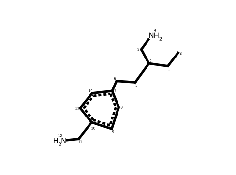 CCC(CN)CCc1ccc(CN)cc1